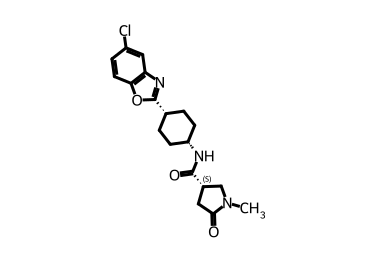 CN1C[C@@H](C(=O)N[C@H]2CC[C@@H](c3nc4cc(Cl)ccc4o3)CC2)CC1=O